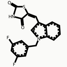 O=C1NC(=O)C(=Cc2cn(Cc3cc(F)cc(F)c3)c3ccccc23)S1